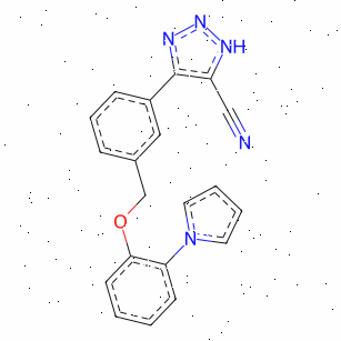 N#Cc1[nH]nnc1-c1cccc(COc2ccccc2-n2cccc2)c1